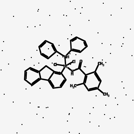 Cc1cc(C)c(C(=O)[NH][Hf]([Cl])([Cl])([c]2cccc3c2Cc2ccccc2-3)[SiH](c2ccccc2)c2ccccc2)c(C)c1